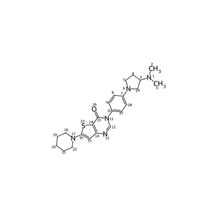 CN(C)C1CCN(c2ccc(-n3cnc4cc(N5CCCCC5)sc4c3=O)cc2)C1